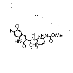 COC(=O)Nc1ccnc(N[C@@H](C)c2cc3cc(Cl)c(F)cc3[nH]c2=O)n1